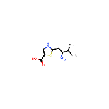 CC(C)C(N)CC1NCC(C(=O)O)S1